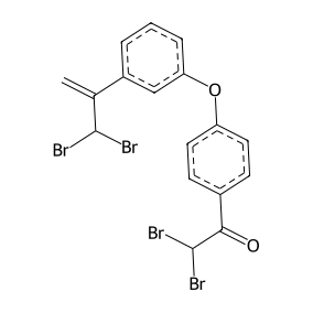 C=C(c1cccc(Oc2ccc(C(=O)C(Br)Br)cc2)c1)C(Br)Br